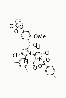 COc1cc(OS(=O)(=O)C(F)(F)F)ccc1C(=O)c1cc(Cl)c(Cl)n1-c1c(Cl)c(Cl)n(S(=O)(=O)c2ccc(C)cc2)c1C(=O)c1ccc(C)cc1C